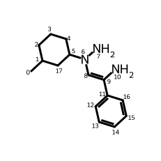 CC1CCCC(N(N)/C=C(\N)c2ccccc2)C1